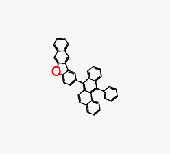 c1ccc(-c2c3ccccc3c(-c3ccc4oc5cc6ccccc6cc5c4c3)c3ccc4ccccc4c23)cc1